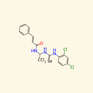 O=C(/C=C/c1ccccc1)NC(NC(=[Se])Nc1ccc(Cl)cc1Cl)C(Cl)(Cl)Cl